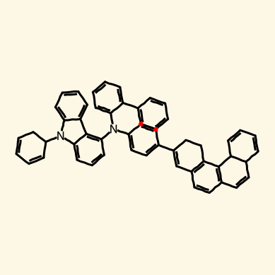 C1=CCC(n2c3ccccc3c3c(N(c4ccc(C5=Cc6ccc7c(c6CC5)C5C=CC=CC5C=C7)cc4)c4ccccc4-c4ccccc4)cccc32)C=C1